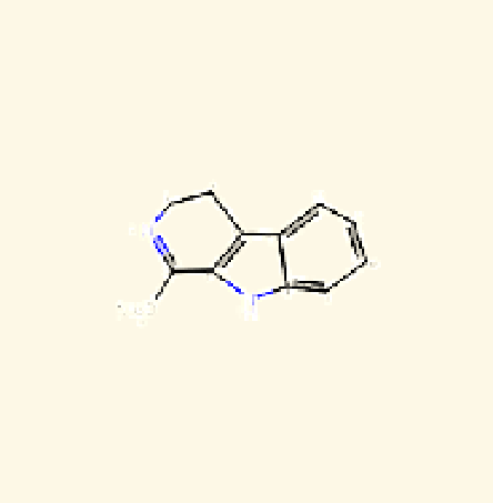 COC1=NCCc2c1[nH]c1ccccc21